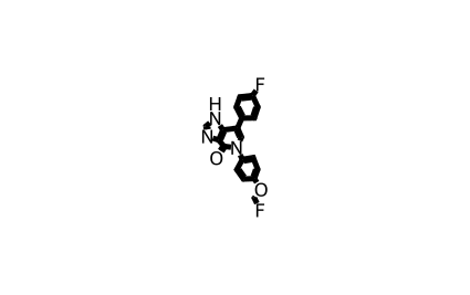 O=c1c2nc[nH]c2c(-c2ccc(F)cc2)cn1-c1ccc(OCF)cc1